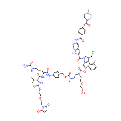 Cc1cccc2c(OC(=O)N(CCOCCO)CCN(C)C(=O)OCc3ccc(NC(=O)[C@H](CCCNC(N)=O)NC(=O)[C@@H](NC(=O)OCCOCCN4C(=O)C=CC4=O)C(C)C)cc3)cc3c(c12)[C@H](CCl)CN3C(=O)c1cc2cc(NC(=O)c3ccc(OC(=O)N4CCN(C)CC4)cc3)ncc2[nH]1